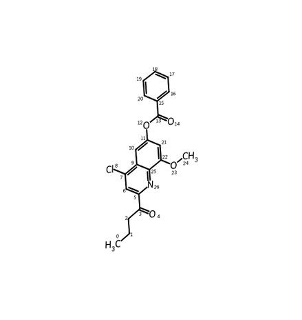 CCCC(=O)c1cc(Cl)c2cc(OC(=O)c3ccccc3)cc(OC)c2n1